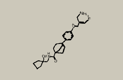 NC/C(=C\F)COc1ccc(C23CCC(C(=O)NCC4(O)CCCC4)(CC2)CC3)cc1